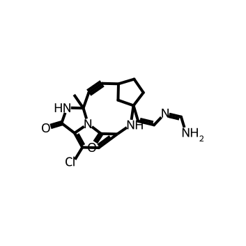 CC12C#CC3CCC(/C=C\N=C/N)(C3)Nc3cc(Cl)c(n1c3=O)C(=O)N2